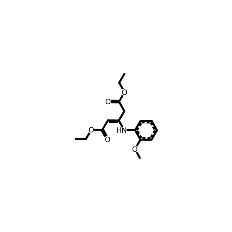 CCOC(=O)/C=C(/CC(=O)OCC)Nc1ccccc1OC